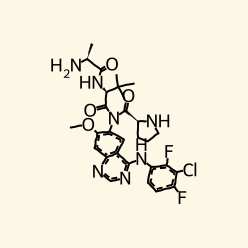 COc1cc2ncnc(Nc3ccc(F)c(Cl)c3F)c2cc1N(C(=O)[C@@H]1CCCN1)C(=O)[C@@H](NC(=O)[C@H](C)N)C(C)(C)C